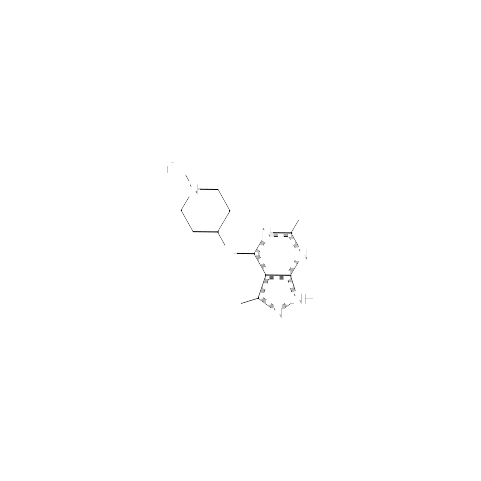 Cc1n[nH]c2nc(Cl)nc(OC3CCN(C(C)C)CC3)c12